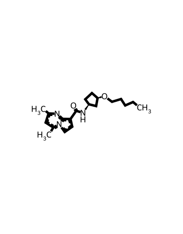 CCCCCO[C@@H]1CC[C@H](NC(=O)c2ccn3c(C)cc(C)nc23)C1